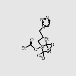 CCC(=O)O[Si](CCCn1ccnn1)(C1(CC)OO1)C1(CC)OO1